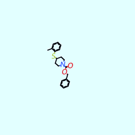 Cc1ccccc1SC1CCN(C(=O)OCc2ccccc2)CC1